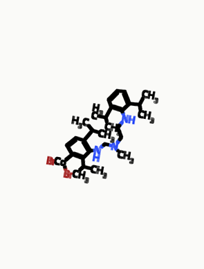 CC(C)c1cccc(C(C)C)c1NCCN(C)CNc1c(C(C)C)cc[c]([Co]([Br])[Br])c1C(C)C